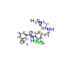 CN1CCC(NC2CC2c2ccc(NC(=O)c3cccc(C(F)(F)F)c3)cc2)CC1.Cl.Cl